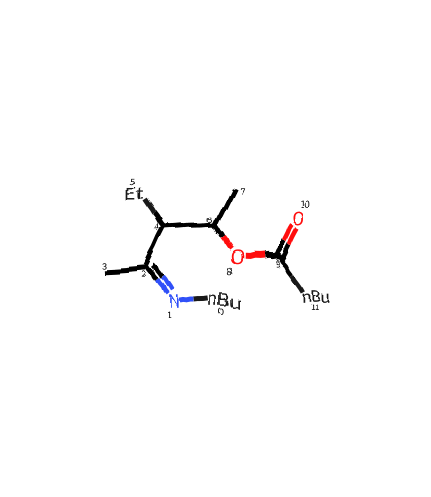 CCCCN=C(C)C(CC)C(C)OC(=O)CCCC